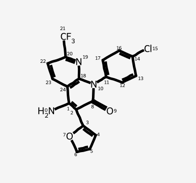 Nc1c(-c2ccco2)c(=O)n(-c2ccc(Cl)cc2)c2nc(C(F)(F)F)ccc12